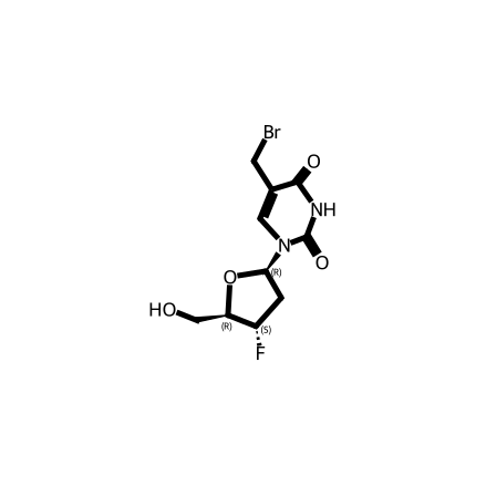 O=c1[nH]c(=O)n([C@H]2C[C@H](F)[C@@H](CO)O2)cc1CBr